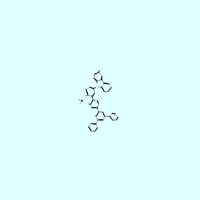 CC1(C)Oc2cc(-c3cc(-c4ccccc4)cc(-c4ccccc4)c3)ccc2-c2cc(-n3c4ccccc4c4cc(C#N)ccc43)ccc2O1